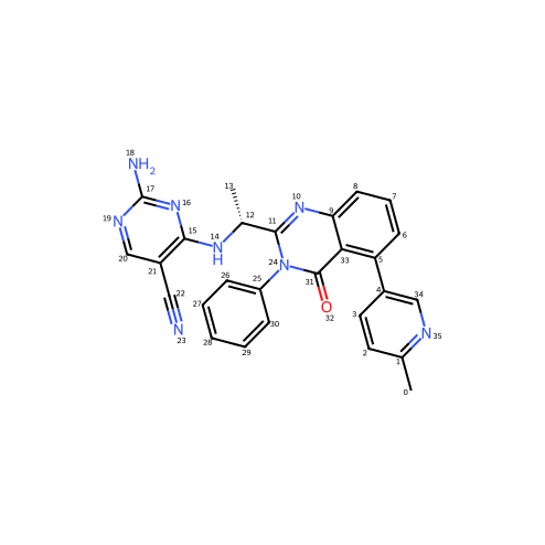 Cc1ccc(-c2cccc3nc([C@@H](C)Nc4nc(N)ncc4C#N)n(-c4ccccc4)c(=O)c23)cn1